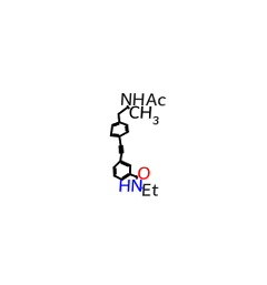 CCNC(=O)c1cccc(C#Cc2ccc(CC(C)NC(C)=O)cc2)c1